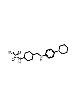 CCC(C)S(=O)(=O)NC1CCC(CNc2ccc(N3CCCCC3)cc2)CC1